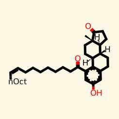 CCCCCCCC/C=C\CCCCCCCC(=O)c1cc(O)cc2c1[C@H]1CC[C@]3(C)C(=O)CC[C@H]3[C@@H]1CC2